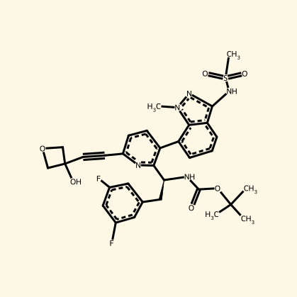 Cn1nc(NS(C)(=O)=O)c2cccc(-c3ccc(C#CC4(O)COC4)nc3[C@H](Cc3cc(F)cc(F)c3)NC(=O)OC(C)(C)C)c21